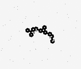 c1ccc(-c2c3ccccc3nc3c2ccc2ccc(-c4ccc5c6ccc(-c7ccc8ccc(-c9ccccn9)nc8c7)cc6c6ccccc6c5c4)nc23)cc1